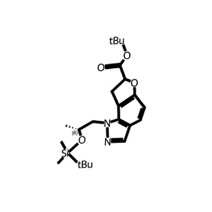 C[C@H](Cn1ncc2ccc3c(c21)CC(C(=O)OC(C)(C)C)O3)O[Si](C)(C)C(C)(C)C